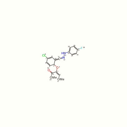 CO/C=C(/OC1C=CC(Cl)=CC1=C=NNc1ccc(F)cc1)C(=O)OC